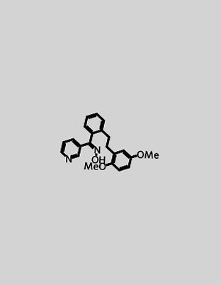 COc1ccc(OC)c(CCc2ccccc2C(=NO)c2cccnc2)c1